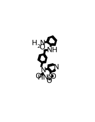 Nc1ccccc1NC(=O)c1ccc(CN2C(=O)NS(=O)(=O)c3cnccc32)cc1